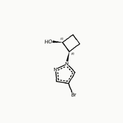 O[C@H]1CC[C@H]1n1cc(Br)cn1